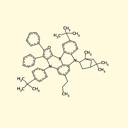 CCCc1cc2c3c(c1)N(C1CC4CC1(C)CC4(C)C)c1ccc(C(C)(C)C)cc1B3c1oc(-c3ccccc3)c(-c3ccccc3)c1N2c1ccc(C(C)(C)C)cc1